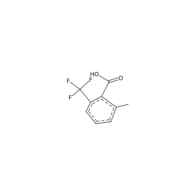 Cc1cccc(C(F)(F)F)c1C(=O)O